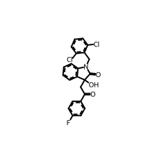 O=C(CC1(O)C(=O)N(Cc2c(Cl)cccc2Cl)c2ccccc21)c1ccc(F)cc1